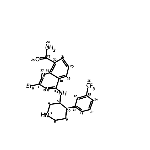 CCc1nc(NC2CNCC[C@@H]2c2cccc(C(F)(F)F)c2)c2cccc(C(N)=O)c2n1